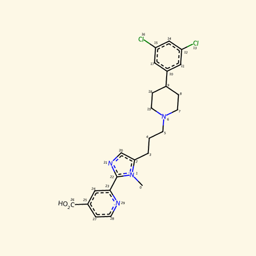 Cn1c(CCCN2CCC(c3cc(Cl)cc(Cl)c3)CC2)cnc1-c1cc(C(=O)O)ccn1